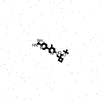 Cc1cc(OCC2(C(=O)OC(C)(C)C)CCC2)ncc1-c1ccc(C(=N)N)nc1